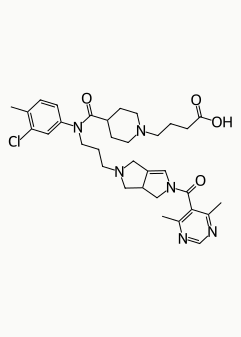 Cc1ccc(N(CCCN2CC3=CN(C(=O)c4c(C)ncnc4C)CC3C2)C(=O)C2CCN(CCCC(=O)O)CC2)cc1Cl